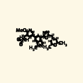 COc1ncc(-c2cc(-c3nnc(CN4C[C@@H](C)O[C@@H](C)C4)o3)c3cnn(C)c3c2)cc1CN[SH](=O)=O